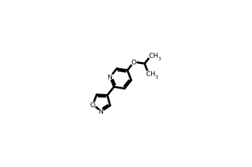 CC(C)Oc1ccc(-c2cnoc2)nc1